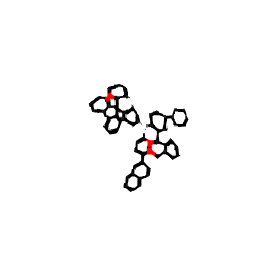 C1=Cc2oc3c(-c4cccc5ccccc45)c(N(c4ccc(-c5ccc6ccccc6c5)cc4)c4ccc5c(c4)Sc4ccccc4C54c5ccccc5-c5ccccc54)ccc3c2CC1